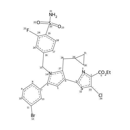 CCOC(=O)c1nc(-c2cc(-c3cccc(Br)c3)n(Cc3ccc(S(N)(=O)=O)c(F)c3)c2CC2CC2)sc1Cl